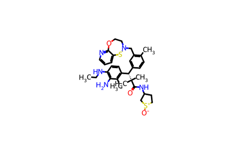 CCNc1ccc([C@H](c2ccc(C)c(CN3CCOc4ncccc4S3)c2)C(C)(C)C(=O)NC2CC[S+]([O-])C2)c(C)c1N